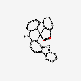 c1ccc2c(c1)Nc1ccc3c(oc4ccccc43)c1C21c2ccccc2-c2ccccc21